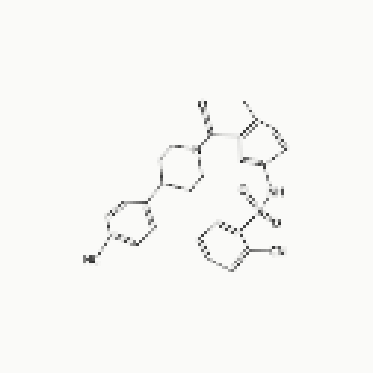 Cc1ccc(NS(=O)(=O)c2ccccc2C#N)cc1C(=O)N1CCC(c2ccc(C#N)cc2)CC1